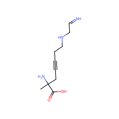 CC(N)(CC#CCCNCC=N)C(=O)O